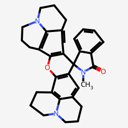 CN1C(=O)c2ccccc2C12c1cc3c4c(c1Oc1c2cc2c5c1CCCN5CCC2)CCCN4CCC3